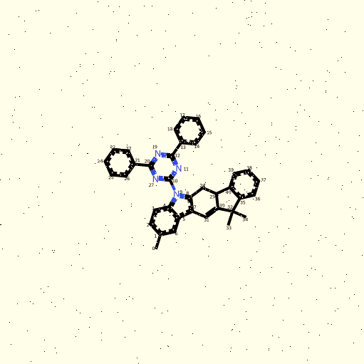 Cc1ccc2c(c1)c1c(n2-c2nc(-c3ccccc3)nc(-c3ccccc3)n2)CC2C(=C1)C(C)(C)c1ccccc12